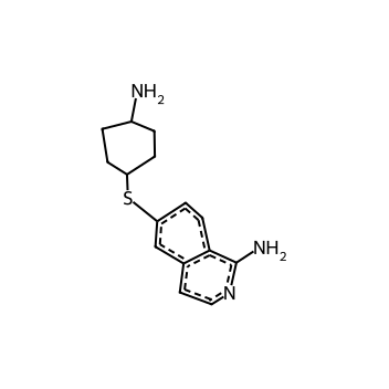 Nc1nccc2cc(SC3CCC(N)CC3)ccc12